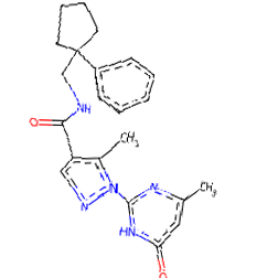 Cc1cc(=O)[nH]c(-n2ncc(C(=O)NCC3(c4ccccc4)CCCC3)c2C)n1